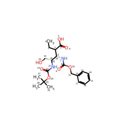 CCC(C(=O)O)[C@H](NC(=O)OCc1ccccc1)[C@@H](CO)NC(=O)OC(C)(C)C